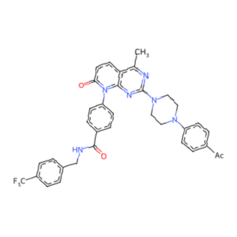 CC(=O)c1ccc(N2CCN(c3nc(C)c4ccc(=O)n(-c5ccc(C(=O)NCc6ccc(C(F)(F)F)cc6)cc5)c4n3)CC2)cc1